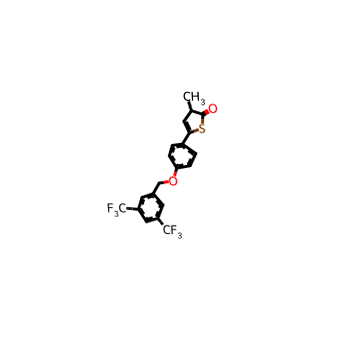 CC1C=C(c2ccc(OCc3cc(C(F)(F)F)cc(C(F)(F)F)c3)cc2)SC1=O